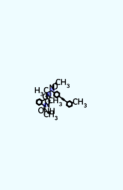 CCO/N=C(/C(C)=N/OCc1ccccc1/C(=N\OC)C(=O)NC)c1ccc(C#Cc2cccc(C)c2)cc1